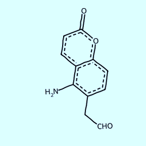 Nc1c(CC=O)ccc2oc(=O)ccc12